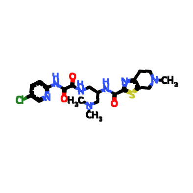 CN(C)CC(CNC(=O)C(=O)Nc1ccc(Cl)cn1)NC(=O)c1nc2c(s1)CN(C)CC2